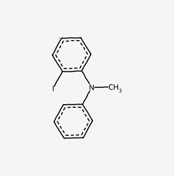 CN(c1ccccc1)c1cc[c]cc1I